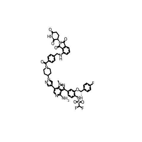 C[C@H](Oc1cc(-c2nn(C)c3c(-c4cnn(C5CCN(C(=O)c6ccc(CNc7cccc8c7C(=O)N(C7CCC(=O)NC7=O)C8=O)cc6)CC5)c4)cnc(N)c23)ccc1NS(=O)(=O)C(F)F)c1ccc(F)cc1